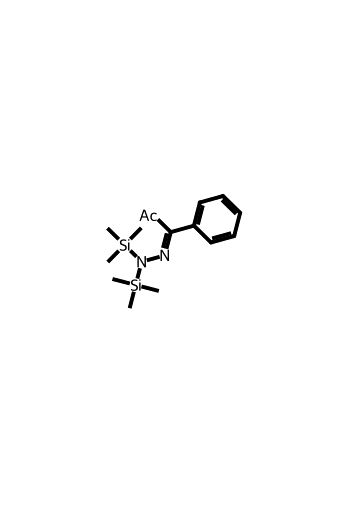 CC(=O)C(=NN([Si](C)(C)C)[Si](C)(C)C)c1ccccc1